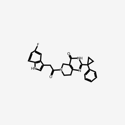 O=C(Cc1c[nH]c2ccc(F)cc12)N1CCc2nc(C3(c4ccccc4)CC3)[nH]c(=O)c2C1